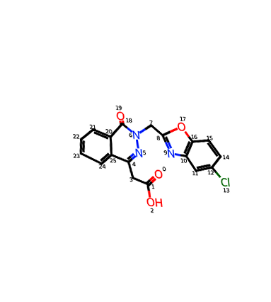 O=C(O)Cc1nn(Cc2nc3cc(Cl)ccc3o2)c(=O)c2ccccc12